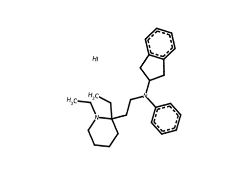 CCN1CCCCC1(CC)CCN(c1ccccc1)C1Cc2ccccc2C1.I